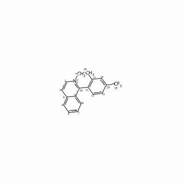 [CH2-][n+]1ccc2ccccc2c1-c1ccc(C(F)(F)F)cc1C